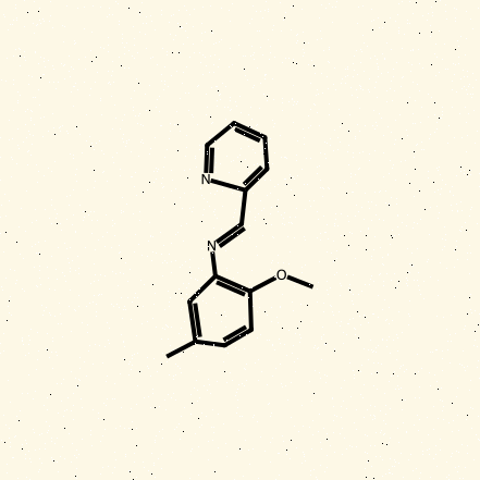 COc1ccc(C)cc1N=Cc1ccccn1